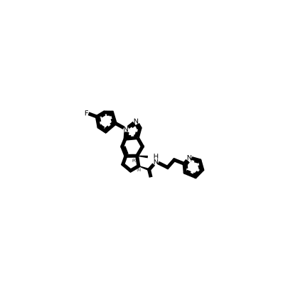 CC(NCCc1ccccn1)[C@H]1CCC2=Cc3c(cnn3-c3ccc(F)cc3)C[C@@]21C